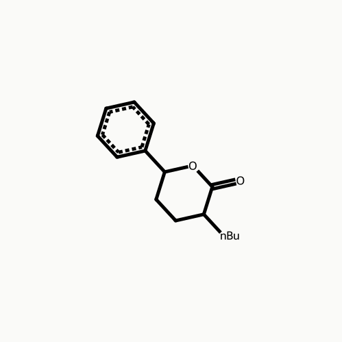 CCCCC1CCC(c2ccccc2)OC1=O